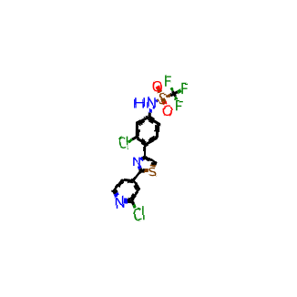 O=S(=O)(Nc1ccc(-c2csc(-c3ccnc(Cl)c3)n2)c(Cl)c1)C(F)(F)F